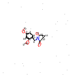 COc1ccc(CN2C(=O)C3CC3C2=O)c(OC)c1